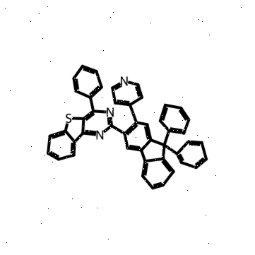 c1ccc(-c2nc(-c3cc4c(cc3-c3ccncc3)C(c3ccccc3)(c3ccccc3)c3ccccc3-4)nc3c2sc2ccccc23)cc1